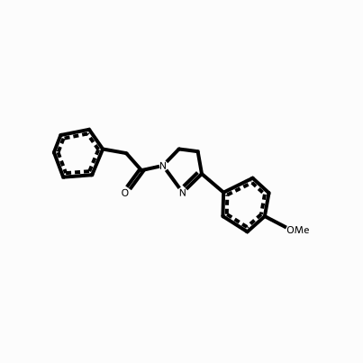 COc1ccc(C2=NN(C(=O)Cc3ccccc3)CC2)cc1